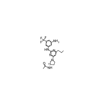 CCCc1cc(N2CC[C@H](NC(C)=O)C2)nc(Nc2cc(N)cc(C(F)(F)F)c2)n1